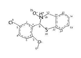 COc1ccc(Cl)cc1C1Sc2ccccc2C[NH+]1[O-]